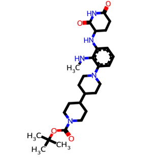 CNc1c(NC2CCC(=O)NC2=O)cccc1N1CCC(C2CCN(C(=O)OC(C)(C)C)CC2)CC1